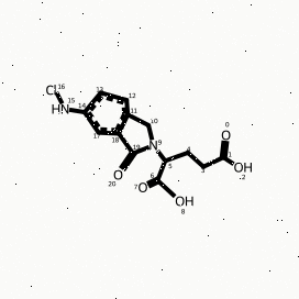 O=C(O)CCC(C(=O)O)N1Cc2ccc(NCl)cc2C1=O